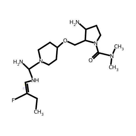 CC/C(F)=C\NC(N)N1CCC(OCC2C(N)CCN2C(=O)N(C)C)CC1